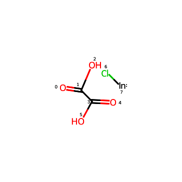 O=C(O)C(=O)O.[Cl][In]